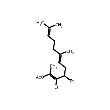 CCC(=C(C)OC(C)=O)C(CC)C/C=C(\C)CCC=C(C)C